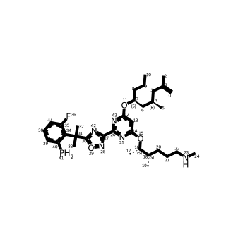 C=C(C)C[C@@H](C)C[C@H](CCC)Oc1cc(O[C@@H](C)[C@@H](C)CCCNC)nc(-c2noc(C(C)(C)c3c(F)cccc3P)n2)n1